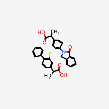 CC(C(=O)O)c1ccc(-c2ccccc2)c(F)c1.CC(C(=O)O)c1ccc(N2Cc3ccccc3C2=O)cc1